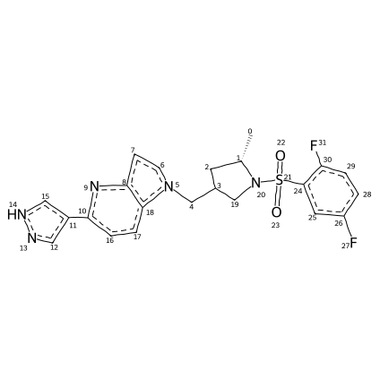 C[C@H]1CC(Cn2ccc3nc(-c4cn[nH]c4)ccc32)CN1S(=O)(=O)c1cc(F)ccc1F